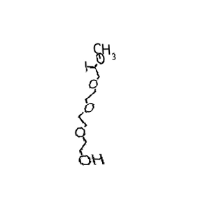 COC(I)COCCOCCOCCO